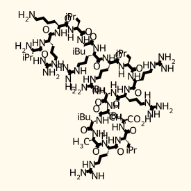 CC[C@H](C)[C@H](NC(=O)[C@H](CC(C)C)NC(=O)[C@H](CCCNC(=N)N)NC(=O)[C@H](C)NC(=O)[C@@H](NC(=O)[C@H](C)NC(=O)[C@@H](NC(=O)[C@H](CCCNC(=N)N)NC(=O)[C@H](CCCNC(=N)N)NC(=O)[C@H](CC(C)C)NC(=O)[C@H](CCCNC(=N)N)NC(=O)[C@H](CCCNC(=N)N)NC(=O)[C@@H](NC(=O)[C@H](CC(C)C)NC(=O)[C@H](CCCCN)NC(=O)[C@H](CCCNC(=N)N)NC(=O)[C@@H](N)C(C)C)[C@@H](C)CC)[C@@H](C)CC)[C@@H](C)CC)C(=O)O